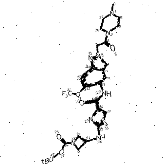 CN1CCN(C(=O)Cn2cc3cc(NC(=O)c4csc(NC5CN(C(=O)OC(C)(C)C)C5)n4)c(OC(F)(F)F)cc3n2)CC1